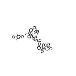 Cc1cc(OCCCc2c(C(=O)O)n(CCN3CCN(C(=O)COc4cccc5c4C(=O)N(C4CCC(=O)NC4=O)C5=O)CC3)c3c(-c4c(C)nn(C)c4C)c(Cl)ccc23)cc(C)c1Cl